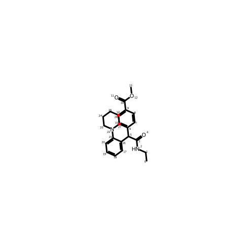 CCNC(=O)C(c1ccc(C(=O)OC)cc1)c1ccccc1N1CCCCC1